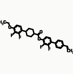 C=Cc1ccc(-c2ccc(OC(=O)C3CCC(c4ccc(OCC)c(F)c4F)CC3)c(F)c2F)cc1